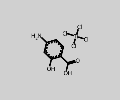 Nc1ccc(C(=O)O)c(O)c1.[Cl][Ti]([Cl])([Cl])[Cl]